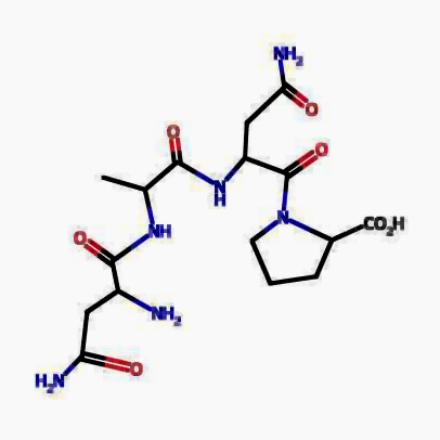 CC(NC(=O)C(N)CC(N)=O)C(=O)NC(CC(N)=O)C(=O)N1CCCC1C(=O)O